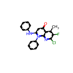 Cc1c(F)c(Cl)nc2c1c(=O)cc(Nc1ccccc1)n2-c1ccccc1